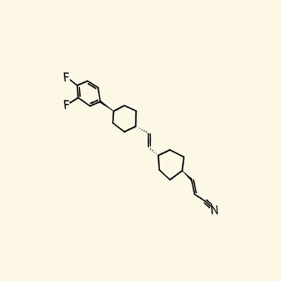 N#CC=C[C@H]1CC[C@H](/C=C/[C@H]2CC[C@H](c3ccc(F)c(F)c3)CC2)CC1